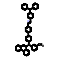 Cc1cccc(N(c2ccc(-c3ccc(/C=C/c4ccc(N(c5ccccc5)c5ccccc5)cc4)cc3)cc2)c2cc3ccccc3c3ccccc23)c1